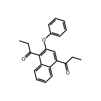 CCC(=O)c1cc(Oc2ccccc2)c(C(=O)CC)c2ccccc12